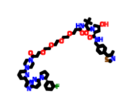 Cc1ncsc1-c1ccc(CNC(=O)[C@@H]2C[C@@H](O)CN2C(=O)[C@@H](NC(=O)CCOCCOCCOCCOCCC(=O)N2CCN(c3cccc(-c4cnc5ccc(N6CCC[C@@H]6c6cccc(F)c6)nn45)n3)CC2)C(C)(C)C)cc1